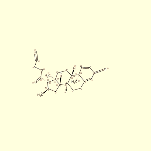 C[C@@H]1C[C@H]2[C@@H]3CCC4=CC(=O)C=C[C@]4(C)[C@H]3CC[C@]2(C)[C@H]1C(=O)OCC#N